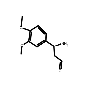 COc1ccc([C@@H](N)CC=O)cc1OC